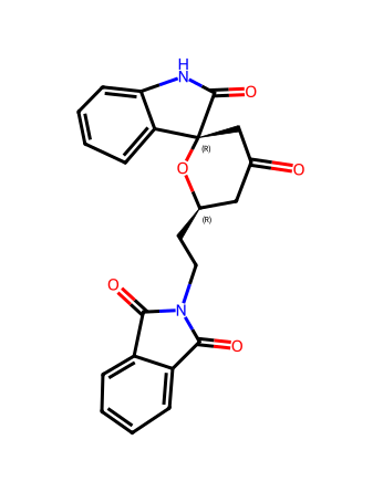 O=C1C[C@@H](CCN2C(=O)c3ccccc3C2=O)O[C@@]2(C1)C(=O)Nc1ccccc12